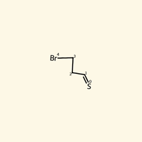 S=CCCBr